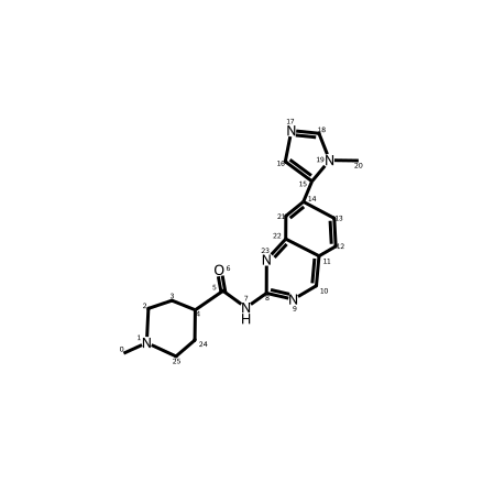 CN1CCC(C(=O)Nc2ncc3ccc(-c4cncn4C)cc3n2)CC1